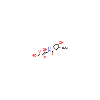 COc1cc(C(=O)NC[C@@H](O)[C@H](O)C(O)CO)ccc1O